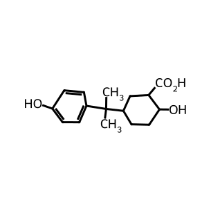 CC(C)(c1ccc(O)cc1)C1CCC(O)C(C(=O)O)C1